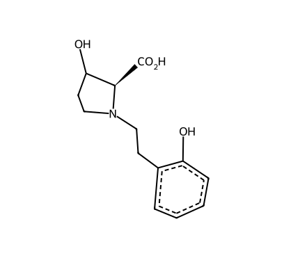 O=C(O)[C@@H]1C(O)CCN1CCc1ccccc1O